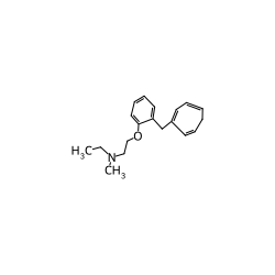 CCN(C)CCOc1ccccc1CC1=CC=CCC=C1